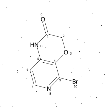 O=C1COc2c(ccnc2Br)N1